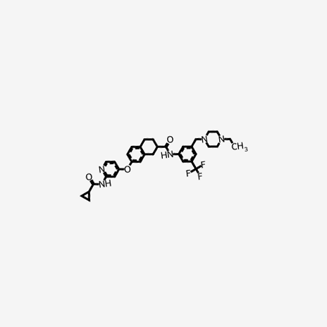 CCN1CCN(Cc2cc(NC(=O)C3CCc4ccc(Oc5ccnc(NC(=O)C6CC6)c5)cc4C3)cc(C(F)(F)F)c2)CC1